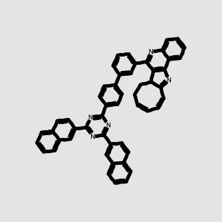 C1=C\CCC2C(=Nc3c2c(-c2cccc(-c4ccc(-c5nc(-c6ccc7ccccc7c6)nc(-c6ccc7ccccc7c6)n5)cc4)c2)nc2ccccc32)\C=C/1